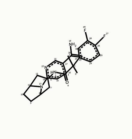 CC(C)(C(=O)NC1CC2CCC(C1)N2c1ccc(C(N)=O)cn1)c1ccc(F)c(F)c1